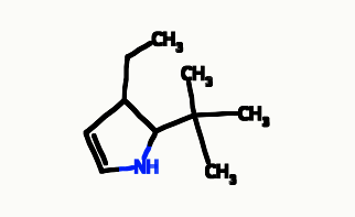 CCC1C=CNC1C(C)(C)C